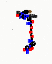 CC[C@@H]1C(=O)N(C)c2cnc(Nc3ccc(C(=O)NCCOCCOCCOCCNc4cccc5c4CN(C4CCC(=O)NC4=O)C5=O)cc3OC)nc2N1Cc1ccc(Br)cc1